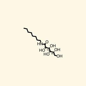 CCCCCCCCNC(=O)[C@H](O)[C@@H](O)[C@H](O)[C@H](O)CO